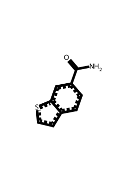 NC(=O)c1ccc2ccsc2c1